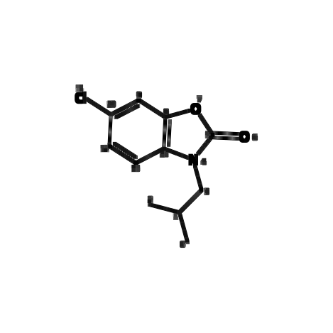 CC(C)Cn1c(=O)oc2cc(Cl)ccc21